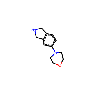 c1cc2c(cc1N1CCOCC1)CNC2